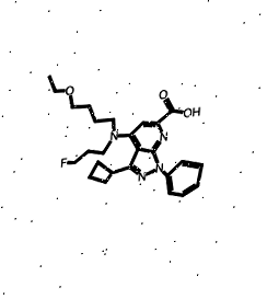 CCOCCCCN(CCCF)c1cc(C(=O)O)nc2c1c(C1CCC1)nn2-c1ccccc1